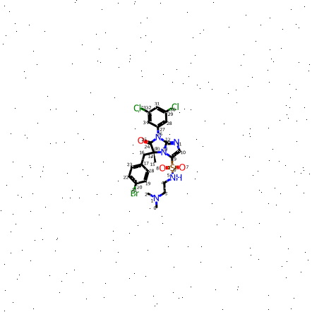 CN(C)CCNS(=O)(=O)c1cnc2n1[C@](C)(Cc1ccc(Br)cc1)C(=O)N2c1cc(Cl)cc(Cl)c1